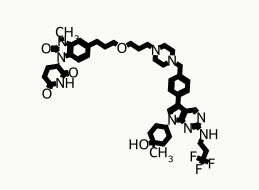 Cn1c(=O)n([C@H]2CCC(=O)NC2=O)c2ccc(CCCOCCCN3CCN(Cc4ccc(-c5cn([C@H]6CC[C@@](C)(O)CC6)c6nc(NCCC(F)(F)F)ncc56)cc4)CC3)cc21